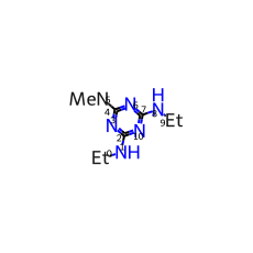 CCNc1nc(NC)nc(NCC)n1